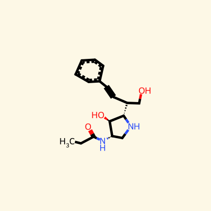 CCC(=O)N[C@H]1CN[C@@H](C(C#Cc2ccccc2)CO)[C@@H]1O